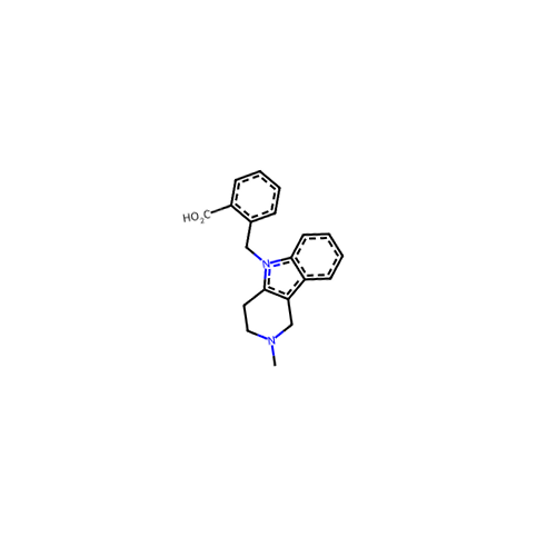 CN1CCc2c(c3ccccc3n2Cc2ccccc2C(=O)O)C1